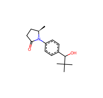 C[C@@H]1CCC(=O)N1c1ccc(C(O)C(C)(C)C)cc1